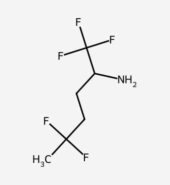 CC(F)(F)CCC(N)C(F)(F)F